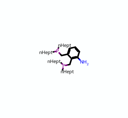 CCCCCCCP(CCCCCCC)Cc1cccc(N)c1CP(CCCCCCC)CCCCCCC